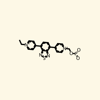 CC[n+]1ccc(-c2ccc(-c3cc[n+](COP(=O)=O)cc3)c3nsnc23)cc1